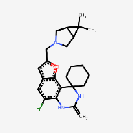 C=C1Nc2c(Cl)cc3cc(CN4CC5C(C4)C5(C)C)oc3c2C2(CCCCC2)N1